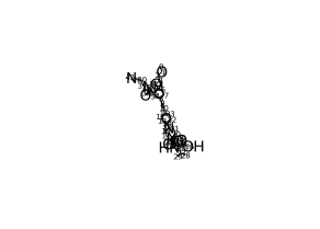 COCCOc1ccc(C#Cc2ccc(N3CCN(S(=O)(=O)NC(C(=O)O)C(C)C)CC3)cc2)cc1C(=O)NCCC#N